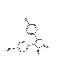 C#Cc1ccc(C2=C(c3ccc(Cl)cc3)CC(=C)C2=O)cc1